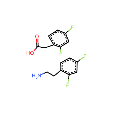 NCCc1ccc(F)cc1F.O=C(O)Cc1ccc(F)cc1F